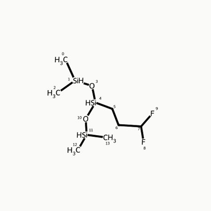 C[SiH](C)O[SiH](CCC(F)F)O[SiH](C)C